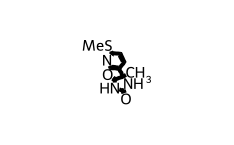 CSc1ccc(C2(C)NC(=O)NC2=O)cn1